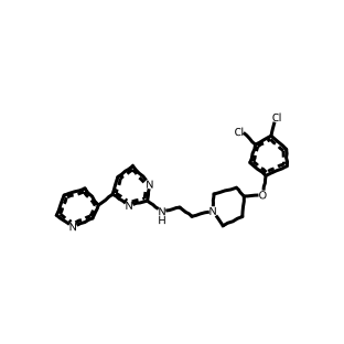 Clc1ccc(OC2CCN(CCNc3nccc(-c4cccnc4)n3)CC2)cc1Cl